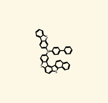 c1ccc(-c2ccc(N(c3ccc4c(c3)sc3ccccc34)c3ccc4sc5ccc6sc7c8ccccc8ccc7c6c5c4c3)cc2)cc1